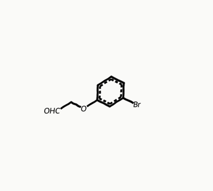 O=CCOc1cccc(Br)c1